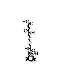 CC1(C)CCC(C)(C)C[SH](O)(=NC(=O)NCCSSCCNC(=O)CCC(=O)O)C1